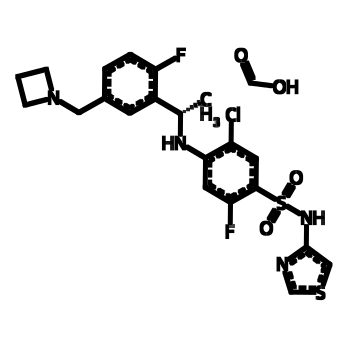 C[C@H](Nc1cc(F)c(S(=O)(=O)Nc2cscn2)cc1Cl)c1cc(CN2CCC2)ccc1F.O=CO